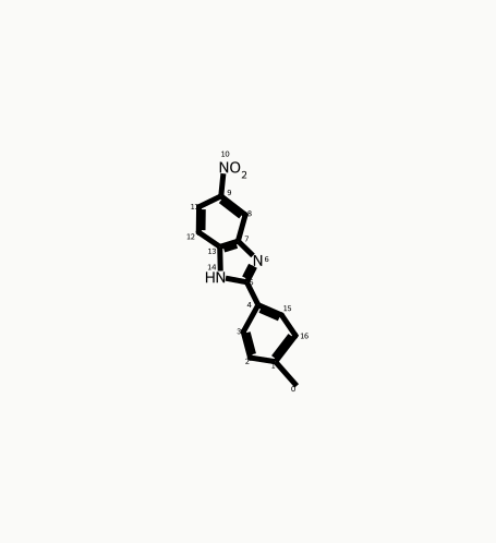 Cc1ccc(-c2nc3cc([N+](=O)[O-])ccc3[nH]2)cc1